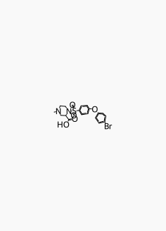 CN1CCN(S(=O)(=O)c2ccc(Oc3ccc(Br)cc3)cc2)C(C(=O)O)C1